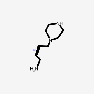 NC/C=C\CN1CCNCC1